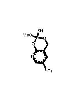 CO[P]1(S)OCc2cc(C)cnc2O1